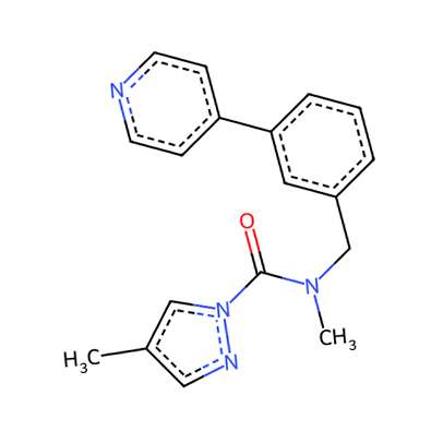 Cc1cnn(C(=O)N(C)Cc2cccc(-c3ccncc3)c2)c1